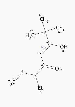 CCC(CC(F)(F)F)C(=O)/C=C(\O)C(C)(C)C(F)(F)F